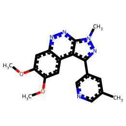 COc1cc2nnc3c(c(-c4cncc(C)c4)nn3C)c2cc1OC